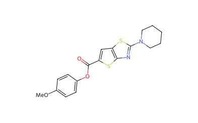 COc1ccc(OC(=O)c2cc3sc(N4CCCCC4)nc3s2)cc1